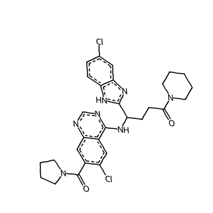 O=C(CCC(Nc1ncnc2cc(C(=O)N3CCCC3)c(Cl)cc12)c1nc2cc(Cl)ccc2[nH]1)N1CCCCC1